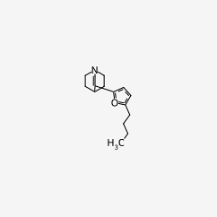 CCCCc1ccc(C2=CN3CCC2CC3)o1